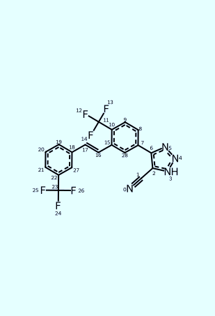 N#Cc1[nH]nnc1-c1ccc(C(F)(F)F)c(C=Cc2cccc(C(F)(F)F)c2)c1